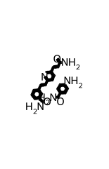 NC(=O)/C=C/c1ccc(/C=C/c2cccc(C(N)=O)c2)nc1.NC(=O)c1ccc(N)cc1